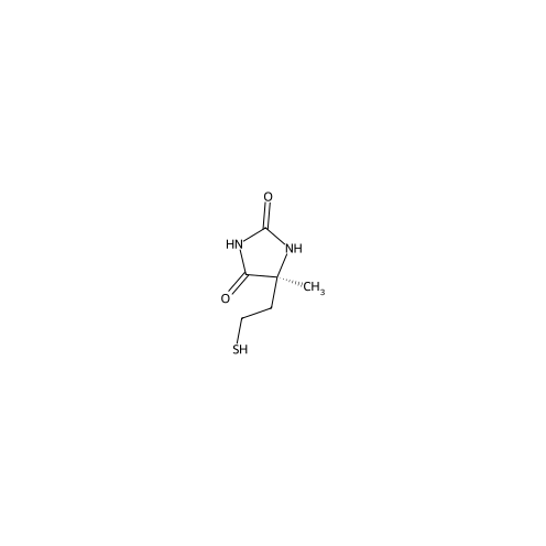 C[C@@]1(CCS)NC(=O)NC1=O